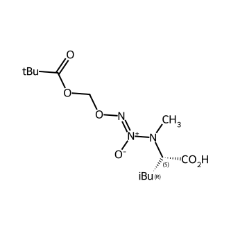 CC[C@@H](C)[C@@H](C(=O)O)N(C)[N+]([O-])=NOCOC(=O)C(C)(C)C